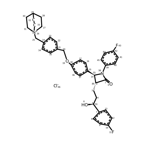 O=C1[C@H](CC[C@H](O)c2ccc(F)cc2)[C@@H](c2ccc(OCc3ccc(C[N+]45CCC(CC4)CC5)cc3)cc2)N1c1ccc(F)cc1.[Cl-]